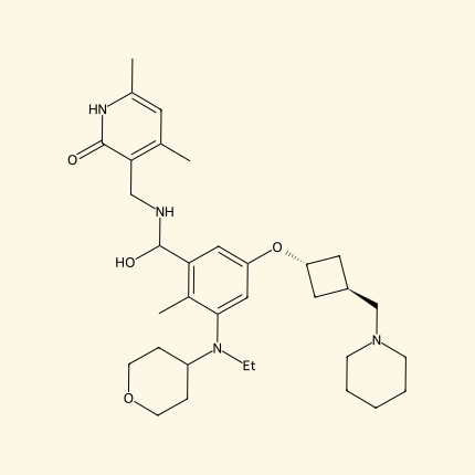 CCN(c1cc(O[C@H]2C[C@H](CN3CCCCC3)C2)cc(C(O)NCc2c(C)cc(C)[nH]c2=O)c1C)C1CCOCC1